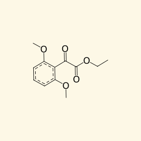 CCOC(=O)C(=O)c1c(OC)cccc1OC